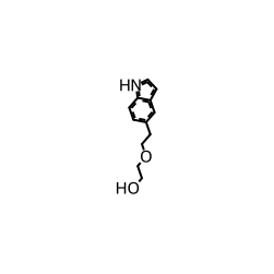 OCCOCCc1ccc2[nH]ccc2c1